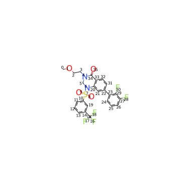 COCCN1CN(S(=O)(=O)c2cccc(C(F)(F)F)c2)c2cc(-c3cccc(F)c3F)ccc2C1=O